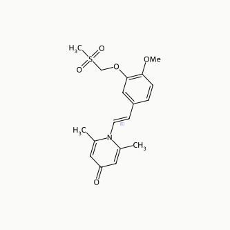 COc1ccc(/C=C/n2c(C)cc(=O)cc2C)cc1OCS(C)(=O)=O